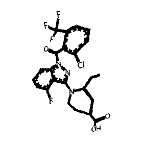 CCC1CC(C(=O)O)CCN1c1nn(C(=O)c2c(Cl)cccc2C(F)(F)F)c2cccc(F)c12